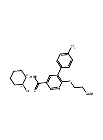 COCCOc1ncc(C(=O)N[C@H]2CCCC[C@@H]2O)cc1-c1ccc(C(F)(F)F)cc1